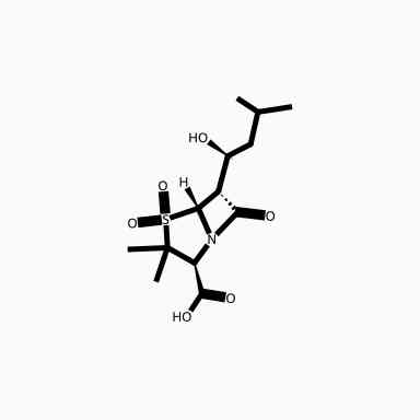 CC(C)C[C@H](O)[C@@H]1C(=O)N2[C@@H](C(=O)O)C(C)(C)S(=O)(=O)[C@H]12